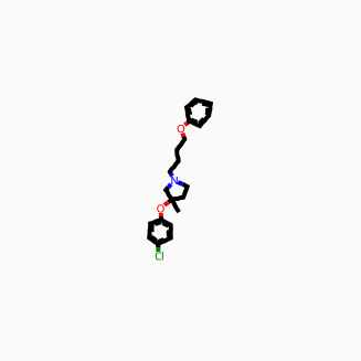 CC1(Oc2ccc(Cl)cc2)CCN(CCCCOc2ccccc2)C1